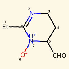 CCC1=NCCC(C=O)[NH+]1[O-]